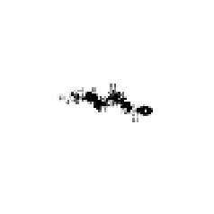 CS(=O)(=O)NCc1cc(F)cc(-c2ccnc3[nH]c(-c4n[nH]c5ncc(-c6cncc(NC(O)C7CCCCC7)c6)cc45)nc23)c1